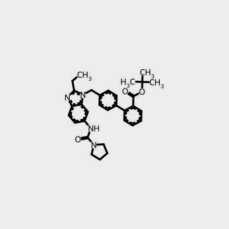 CCc1nc2ccc(NC(=O)N3CCCC3)cc2n1Cc1ccc(-c2ccccc2C(=O)OC(C)(C)C)cc1